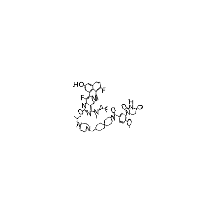 C#Cc1c(F)ccc2cc(O)cc(-c3ncc4c(N(C)[C@H]5C[C@@H]5F)nc(OC[C@H](C)CN5CCN(CC6CCC7(CC6)CCN(C(=O)c6ccc(OC)c(N8CCC(=O)NC8=O)c6)CC7)CC5)nc4c3F)c12